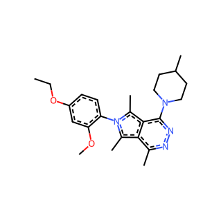 CCOc1ccc(-n2c(C)c3c(C)nnc(N4CCC(C)CC4)c3c2C)c(OC)c1